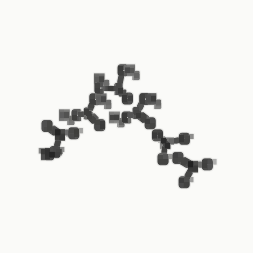 CS(C)=O.CS(C)=O.CS(C)=O.O=[N+]([O-])[O-].O=[N+]([O-])[O-].O=[N+]([O-])[O-].[Tb+3]